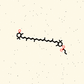 CCCC(=O)OC1CC(C)=C(/C=C/C(C)=C/C=C/C(C)=C/C=C/C=C(C)/C=C/C=C(C)/C=C/C2=C(C)C(=O)CCC2(C)C)C(C)(C)C1